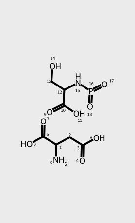 NC(CC(=O)O)C(=O)O.O=C(O)C(CO)NP(=O)=O